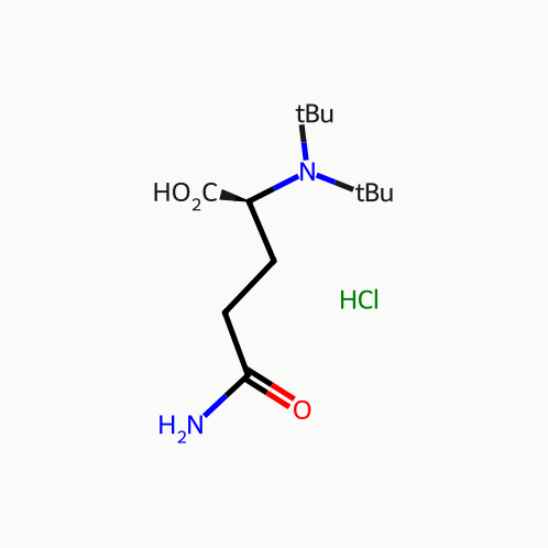 CC(C)(C)N([C@@H](CCC(N)=O)C(=O)O)C(C)(C)C.Cl